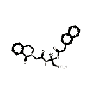 CC(=O)C(CC(=O)O)(NC(=O)CN1CCc2ccccc2C1=O)OC(=O)Cc1ccc2ccccc2c1